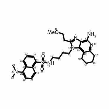 COCCc1nc2c(N)nc3c(c2n1CCCCNS(=O)(=O)c1cccc2c(N(C)C)cccc12)CCCC3